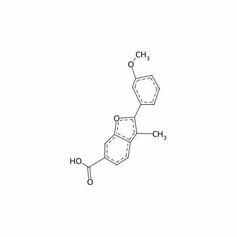 COc1cccc(-c2oc3cc(C(=O)O)ccc3c2C)c1